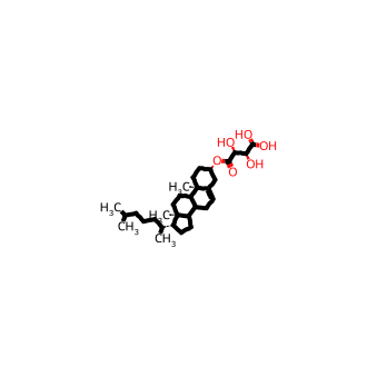 CC(C)CCCC(C)[C@H]1CCC2C3CC=C4C[C@@H](OC(=O)[C@@H](O)[C@H](O)C(O)O)CC[C@]4(C)C3CC[C@@]21C